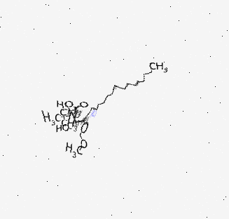 CCCCCCCCCCCCC/C=C/[C@@H](OCOC)[C@H](CO)N(C(=O)O)C(C)(C)C